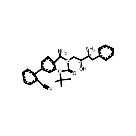 CC(C)(C)OC(=O)N(C[C@H](O)[C@@H](N)Cc1ccccc1)C(N)c1ccc(-c2ccccc2C#N)cc1